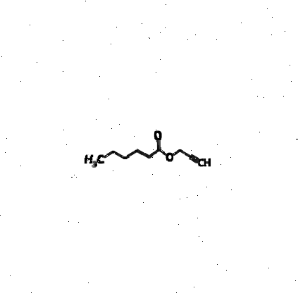 C#CCOC(=O)CCCCC